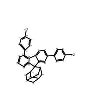 Clc1ccc(-c2ccc3c(c2)C2(c4cccc(-c5ccc(Cl)cc5)c4-3)C3CC4CC(C3)CC2C4)cc1